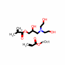 C=C(C)C(=O)OCC(O)CN(CCO)CCO.C=CC(=O)OCCCCCCCC